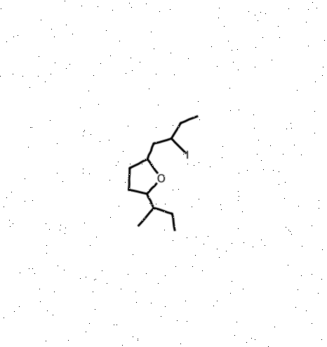 CCC(I)CC1CCC(C(C)CC)O1